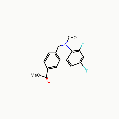 COC(=O)c1ccc(CN(C=O)c2ccc(F)cc2F)cc1